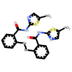 O=C(Nc1ncc([N+](=O)[O-])s1)c1ccccc1[Se][Se]c1ccccc1C(=O)Nc1ncc([N+](=O)[O-])s1